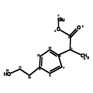 CC(C(=O)OC(C)(C)C)c1ccc(CCO)cc1